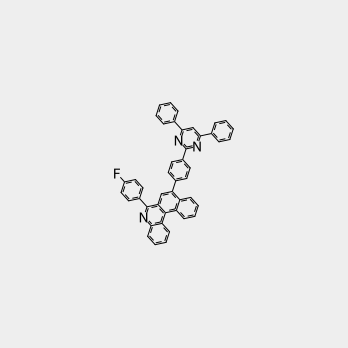 Fc1ccc(-c2nc3ccccc3c3c2cc(-c2ccc(-c4nc(-c5ccccc5)cc(-c5ccccc5)n4)cc2)c2ccccc23)cc1